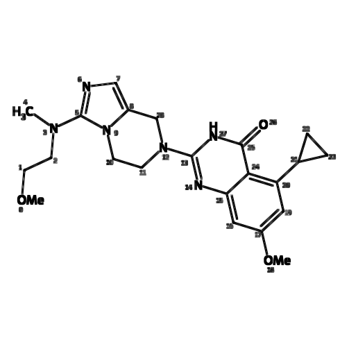 COCCN(C)c1ncc2n1CCN(c1nc3cc(OC)cc(C4CC4)c3c(=O)[nH]1)C2